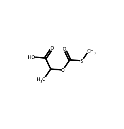 CSC(=O)OC(C)C(=O)O